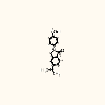 CCCCCCCCc1ccc(N2Cc3cc(N(C)C)ccc3C2=O)cc1